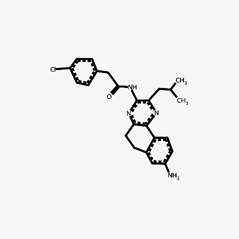 CC(C)Cc1nc2c(nc1NC(=O)Cc1ccc(Cl)cc1)CCc1cc(N)ccc1-2